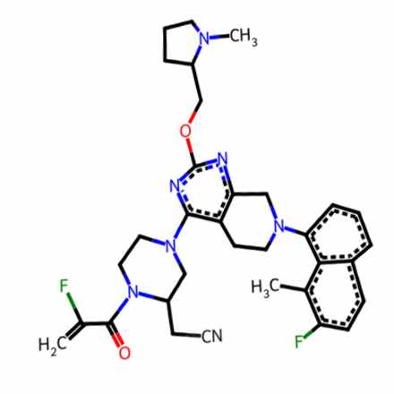 C=C(F)C(=O)N1CCN(c2nc(OCC3CCCN3C)nc3c2CCN(c2cccc4ccc(F)c(C)c24)C3)CC1CC#N